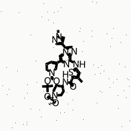 Cc1cc(Nc2nc(C3=CCCN(C(=O)OC(C)(C)C)C3)cn3c(-c4cnn(C)c4)cnc23)sc1C(=O)NC1CCN(S(C)(=O)=O)CC1